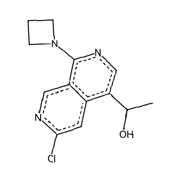 CC(O)c1cnc(N2CCC2)c2cnc(Cl)cc12